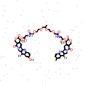 CCc1c2c(nc3ccc(O)cc13)-c1cc3c(c(=O)n1C2)COC(=O)[C@@]3(CC)OC(=O)CNC(=O)COCCOCC(C)OCCOCC(=O)NCC(=O)O[C@]1(CC)C(=O)OCc2c1cc1n(c2=O)Cc2c-1nc1ccc(C)cc1c2CC